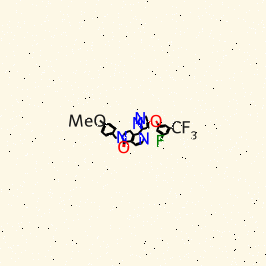 COc1ccc(CN2CCc3c(ccnc3-c3cc(Oc4cc(F)cc(C(F)(F)F)c4)cnn3)C2=O)cc1